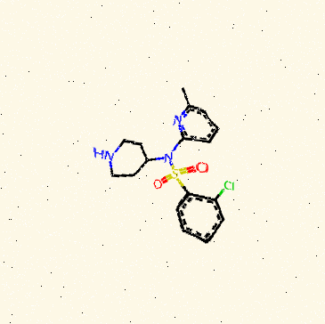 Cc1cccc(N(C2CCNCC2)S(=O)(=O)c2ccccc2Cl)n1